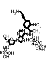 CC(Nc1ncnc2c1ncn2[C@H]1C[C@H](O)[C@@H](CO)O1)c1ccc(C#CCN)cc1[N+](=O)[O-].O=P(O)(O)O.O=P(O)(O)O.O=P(O)(O)O